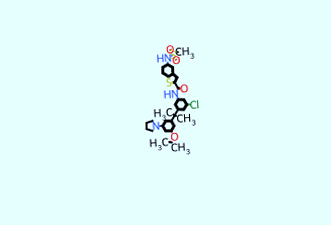 CC(C)Oc1cc(N2CCCC2)cc(C(C)(C)c2cc(Cl)cc(NC(=O)c3cc4cc(NS(C)(=O)=O)ccc4s3)c2)c1